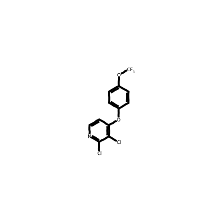 FC(F)(F)Oc1ccc(Oc2ccnc(Cl)c2Cl)cc1